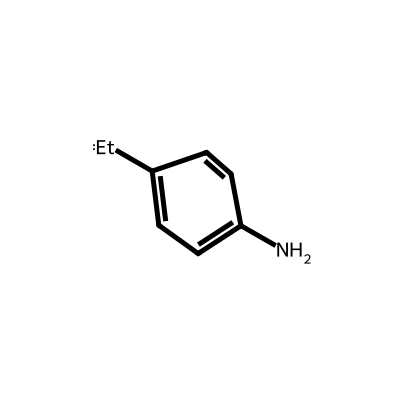 C[C]c1ccc(N)cc1